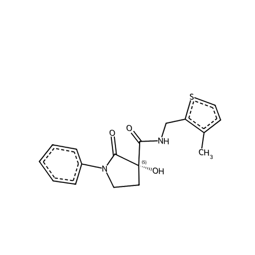 Cc1ccsc1CNC(=O)[C@@]1(O)CCN(c2ccccc2)C1=O